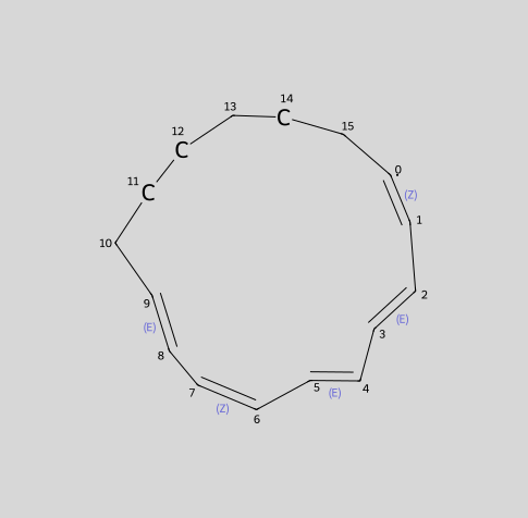 [C]1=C/C=C/C=C/C=C\C=C\CCCCCC\1